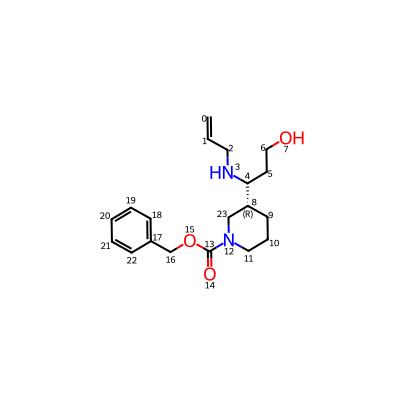 C=CCNC(CCO)[C@@H]1CCCN(C(=O)OCc2ccccc2)C1